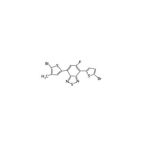 Cc1cc(-c2cc(F)c(-c3ccc(Br)s3)c3nsnc23)sc1Br